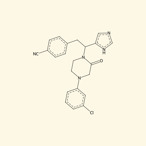 N#Cc1ccc(CC(c2cnc[nH]2)N2CCN(c3cccc(Cl)c3)CC2=O)cc1